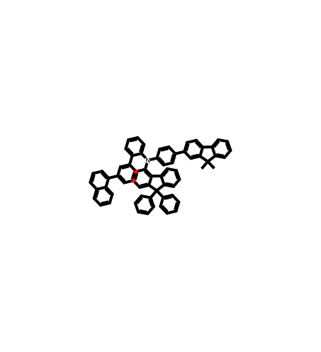 CC1(C)c2ccccc2-c2ccc(-c3ccc(N(c4ccccc4-c4cccc(-c5cccc6ccccc56)c4)c4cccc5c4-c4ccccc4C5(c4ccccc4)c4ccccc4)cc3)cc21